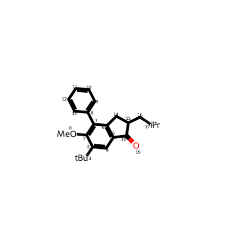 COc1c(C(C)(C)C)cc2c(c1-c1ccccc1)CC(CC(C)C)C2=O